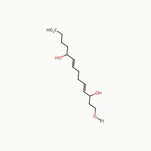 CCOCCC(O)C=CCCC=CC(O)CCCC(=O)O